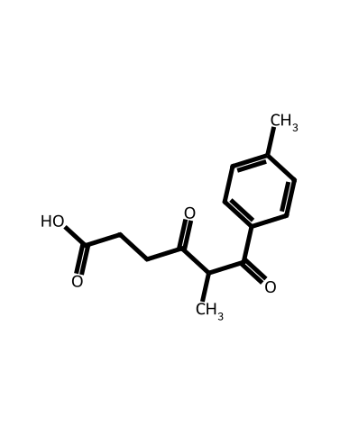 Cc1ccc(C(=O)C(C)C(=O)CCC(=O)O)cc1